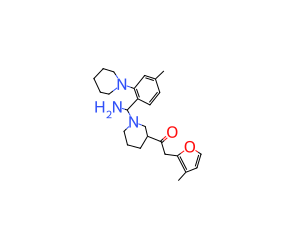 Cc1ccc(C(N)N2CCCC(C(=O)Cc3occc3C)C2)c(N2CCCCC2)c1